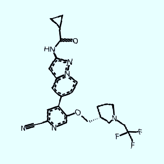 N#Cc1cc(-c2ccn3nc(NC(=O)C4CC4)cc3c2)c(OC[C@@H]2CCN(CC(F)(F)F)C2)cn1